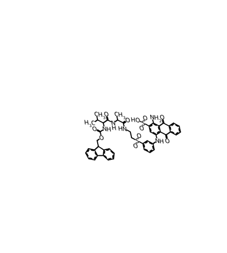 CC(NC(=O)C(NC(=O)OCC1c2ccccc2-c2ccccc21)C(C)C)C(=O)NCCS(=O)(=O)c1cccc(Nc2cc(S(=O)(=O)O)c(N)c3c2C(=O)c2ccccc2C3=O)c1